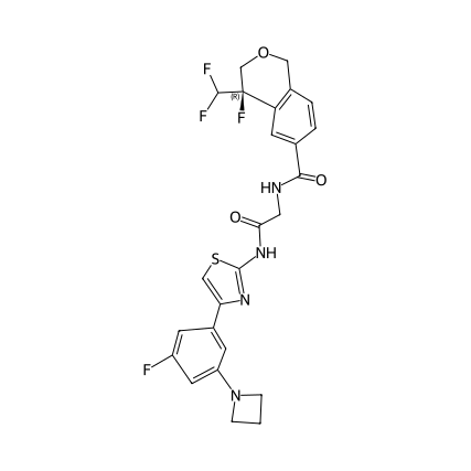 O=C(CNC(=O)c1ccc2c(c1)[C@](F)(C(F)F)COC2)Nc1nc(-c2cc(F)cc(N3CCC3)c2)cs1